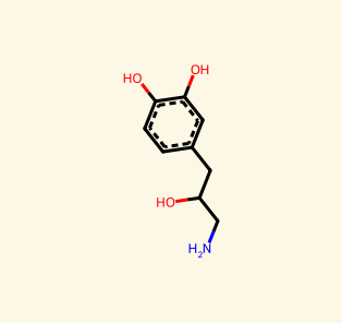 NCC(O)Cc1ccc(O)c(O)c1